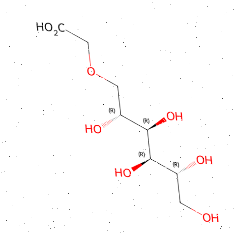 O=C(O)COC[C@@H](O)[C@@H](O)[C@H](O)[C@H](O)CO